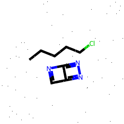 CCCCCCl.c1nc2nnc1-2